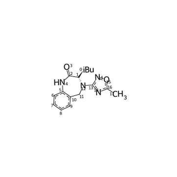 CC[C@H](C)[C@H]1C(=O)Nc2ccccc2CN1c1noc(C)n1